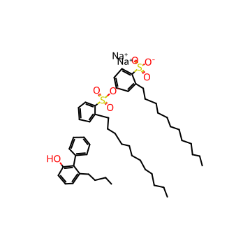 CCCCCCCCCCCCc1ccccc1S(=O)(=O)[O-].CCCCCCCCCCCCc1ccccc1S(=O)(=O)[O-].CCCCc1cccc(O)c1-c1ccccc1.[Na+].[Na+]